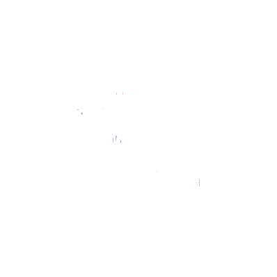 N#CC(=O)NCSS